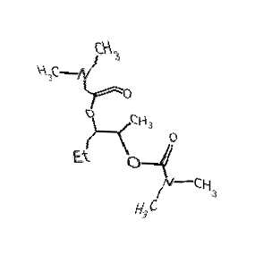 CCC(OC(=O)N(C)C)C(C)OC(=O)N(C)C